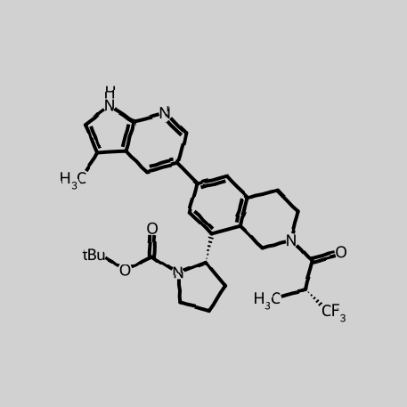 Cc1c[nH]c2ncc(-c3cc4c(c([C@@H]5CCCN5C(=O)OC(C)(C)C)c3)CN(C(=O)[C@@H](C)C(F)(F)F)CC4)cc12